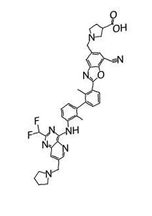 Cc1c(Nc2nc(C(F)F)nc3cc(CN4CCCC4)cnc23)cccc1-c1cccc(-c2nc3cc(CN4CCC(C(=O)O)C4)cc(C#N)c3o2)c1C